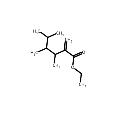 C=C(C(=O)OCC)C(C)C(C)C(C)C